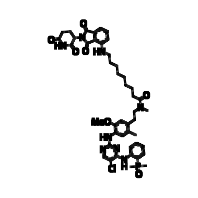 COc1cc(CCN(C)C(=O)CCCCCCCCNc2cccc3c2C(=O)N(C2CCC(=O)NC2=O)C3=O)c(C)cc1Nc1ncc(Cl)c(Nc2ccccc2P(C)(C)=O)n1